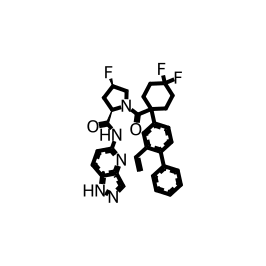 C=Cc1cc(C2(C(=O)N3C[C@H](F)C[C@@H]3C(=O)Nc3ccc4[nH]ncc4n3)CCC(F)(F)CC2)ccc1-c1ccccc1